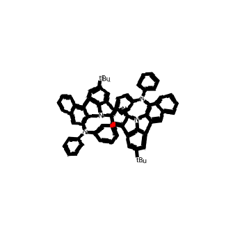 CC(C)(C)c1cc2c3nc4c(cc3n3c5c(N(c6ccccc6)c6ccccc6)cc6ccccc6c5c(c1)c23)c1cc(C(C)(C)C)cc2c3cc5ccccc5c(N(c5ccccc5)c5ccccc5)c3n4c12